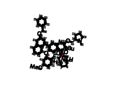 CCCCOC(=O)N1[C@@H]2CC[C@H]1CN(c1nc(OC[C@@H]3CCCN3C)nc3cc(-c4cc(OCc5ccccc5)cc5ccccc45)c(Oc4cc(OC)ccc4F)cc13)C2